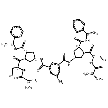 CN[C@@H](C)C(=O)N[C@@H](CC(C)C)C(=O)N1C[C@@H](NC(=O)c2cc(N)cc(C(=O)N[C@H]3C[C@@H](C(=O)N[C@H](C)c4ccccc4)N(C(=O)[C@H](CC(C)C)NC(=O)[C@H](C)NC)C3)c2)C[C@H]1C(=O)N[C@H](C)c1ccccc1